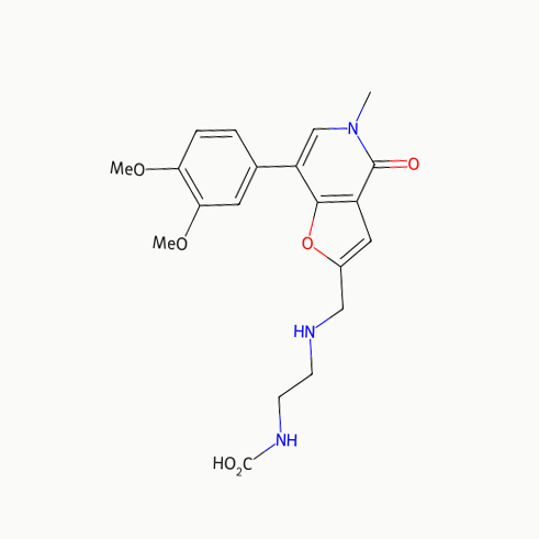 COc1ccc(-c2cn(C)c(=O)c3cc(CNCCNC(=O)O)oc23)cc1OC